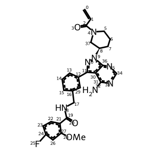 C=CC(=O)N1CCC[C@@H](n2nc(-c3cccc(CNC(=O)c4ccc(F)cc4OC)c3)c3c(N)ncnc32)C1